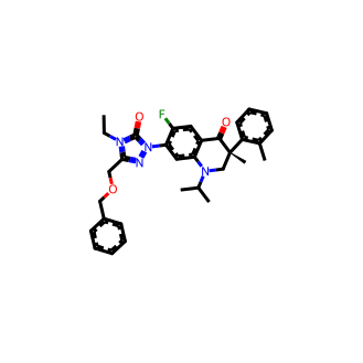 CCn1c(COCc2ccccc2)nn(-c2cc3c(cc2F)C(=O)[C@](C)(c2ccccc2C)CN3C(C)C)c1=O